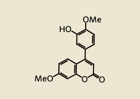 COc1ccc2c(-c3ccc(OC)c(O)c3)cc(=O)oc2c1